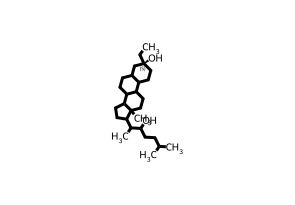 CC[C@]1(O)CCC2C(CCC3C2CCC2(C)C(C(C)C(O)CCC(C)C)CCC32)C1